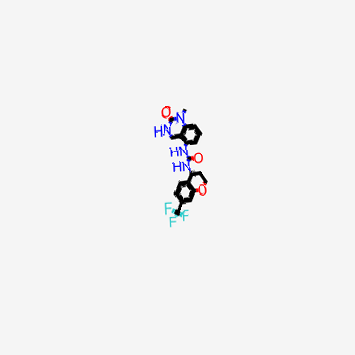 CN1C(=O)NCc2c(NC(=O)N[C@@H]3CCOc4cc(C(F)(F)F)ccc43)cccc21